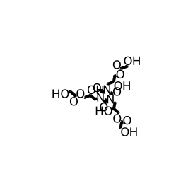 O=C(CO)OCC(O)Cn1c(=O)n(CC(O)COC(=O)CO)c(=O)n(CC(O)COC(=O)CO)c1=O